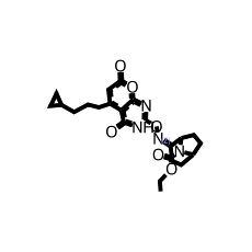 CCOC(=O)N1C2CC/C(=N/Oc3nc4oc(=O)cc(CCCC5CC5)c4c(=O)[nH]3)C1CC2